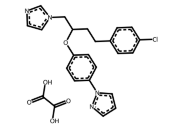 Clc1ccc(CCC(Cn2ccnc2)Oc2ccc(-n3cccn3)cc2)cc1.O=C(O)C(=O)O